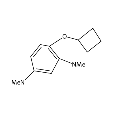 CNc1ccc(OC2CCC2)c(NC)c1